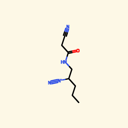 CCCC(CNC(=O)CC#N)[N+]#N